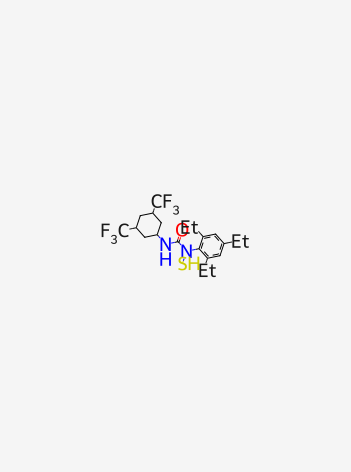 CCc1cc(CC)c(N(S)C(=O)NC2CC(C(F)(F)F)CC(C(F)(F)F)C2)c(CC)c1